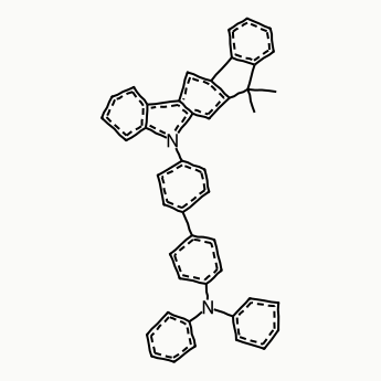 CC1(C)c2ccccc2-c2cc3c4ccccc4n(-c4ccc(-c5ccc(N(c6ccccc6)c6ccccc6)cc5)cc4)c3cc21